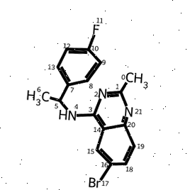 Cc1nc(NC(C)c2ccc(F)cc2)c2cc(Br)ccc2n1